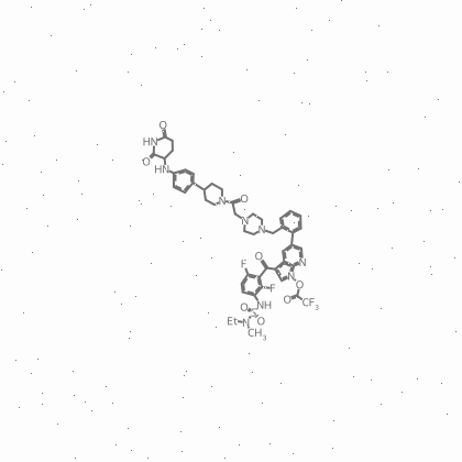 CCN(C)S(=O)(=O)Nc1ccc(F)c(C(=O)c2cn(OC(=O)C(F)(F)F)c3ncc(-c4ccccc4CN4CCN(CC(=O)N5CCC(c6ccc(NC7CCC(=O)NC7=O)cc6)CC5)CC4)cc23)c1F